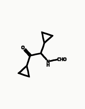 O=CNC(C(=O)C1CC1)C1CC1